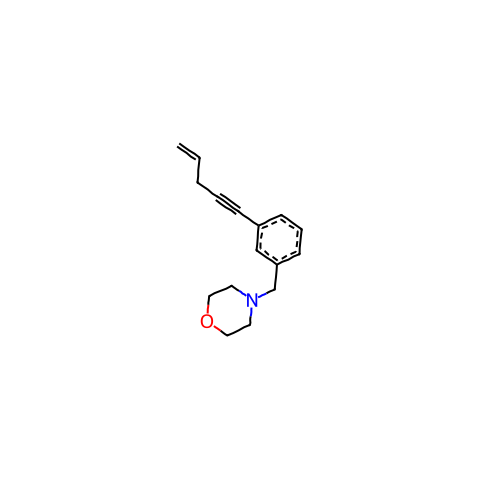 C=CCC#Cc1cccc(CN2CCOCC2)c1